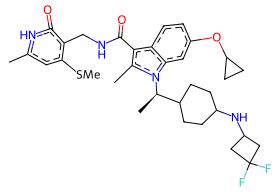 CSc1cc(C)[nH]c(=O)c1CNC(=O)c1c(C)n([C@H](C)C2CCC(NC3CC(F)(F)C3)CC2)c2cc(OC3CC3)ccc12